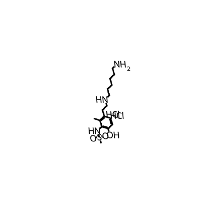 Cc1c(CCNCCCCCCN)ccc(O)c1NS(C)(=O)=O.Cl.Cl